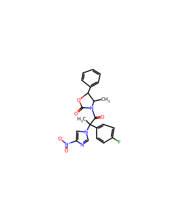 CC1C(c2ccccc2)OC(=O)N1C(=O)C(C)(c1ccc(F)cc1)n1cnc([N+](=O)[O-])c1